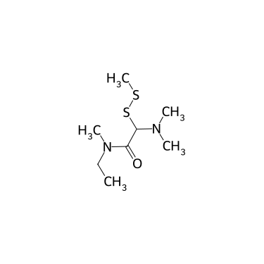 CCN(C)C(=O)C(SSC)N(C)C